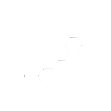 O=C(O)NC(=O)SCc1ccc(Cl)cc1